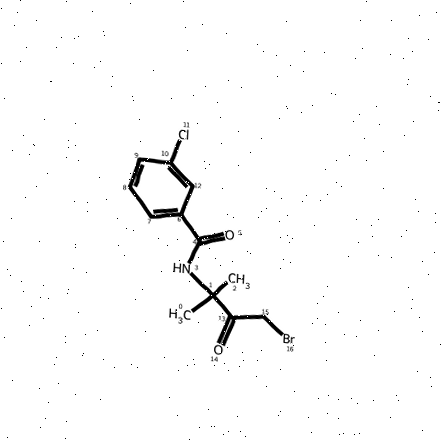 CC(C)(NC(=O)c1cccc(Cl)c1)C(=O)CBr